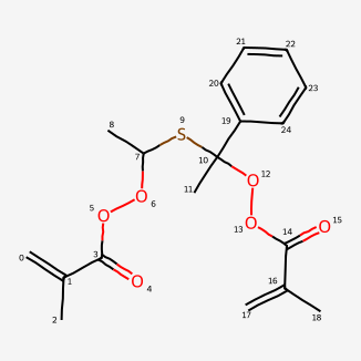 C=C(C)C(=O)OOC(C)SC(C)(OOC(=O)C(=C)C)c1ccccc1